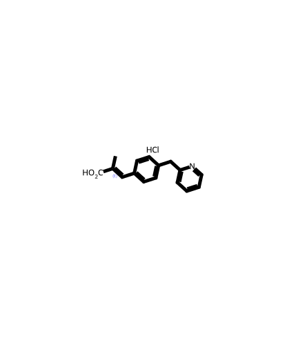 C/C(=C\c1ccc(Cc2ccccn2)cc1)C(=O)O.Cl